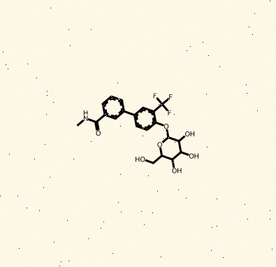 CNC(=O)c1cccc(-c2ccc(OC3OC(CO)C(O)C(O)C3O)c(C(F)(F)F)c2)c1